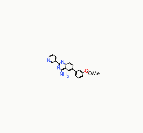 COOc1cccc(-c2ccc3nc(-c4cccnc4)nc(N)c3c2)c1